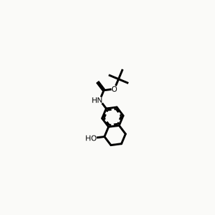 C=C(Nc1ccc2c(c1)C(O)CCC2)OC(C)(C)C